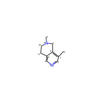 Cc1cncc2c1CN(C)CC2